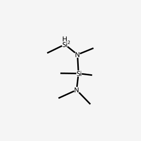 C[SiH2]N(C)[Si](C)(C)N(C)C